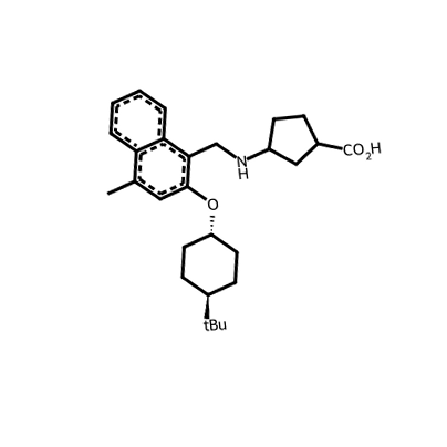 Cc1cc(O[C@H]2CC[C@H](C(C)(C)C)CC2)c(CNC2CCC(C(=O)O)C2)c2ccccc12